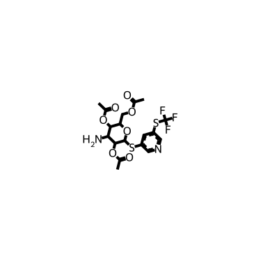 CC(=O)OCC1OC(Sc2cncc(SC(F)(F)F)c2)C(OC(C)=O)C(N)C1OC(C)=O